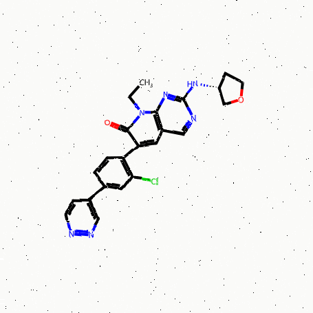 CCn1c(=O)c(-c2ccc(-c3ccnnc3)cc2Cl)cc2cnc(N[C@@H]3CCOC3)nc21